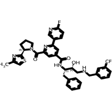 Cc1csc([C@H]2CCCN2C(=O)c2cc(C(=O)N[C@@H](Cc3ccccc3)[C@H](O)CNCc3cccc(C(F)(F)F)c3)cc(-c3ccc(F)nc3)n2)n1